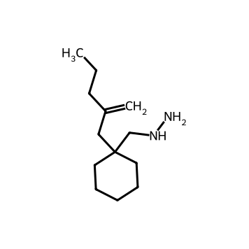 C=C(CCC)CC1(CNN)CCCCC1